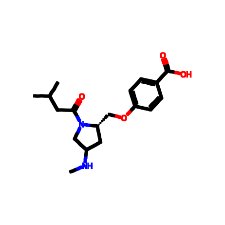 CNC1C[C@@H](COc2ccc(C(=O)O)cc2)N(C(=O)CC(C)C)C1